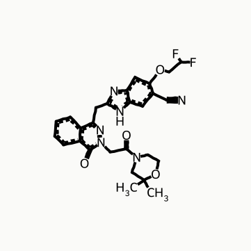 CC1(C)CN(C(=O)Cn2nc(Cc3nc4cc(OCC(F)F)c(C#N)cc4[nH]3)c3ccccc3c2=O)CCO1